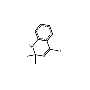 CC1(C)C=C(Cl)c2ccccc2N1